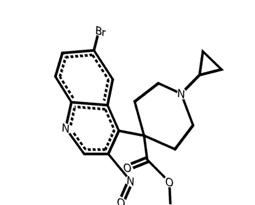 COC(=O)C1(c2c(N=O)cnc3ccc(Br)cc23)CCN(C2CC2)CC1